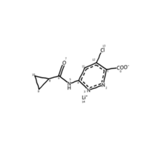 O=C([O-])c1nnc(NC(=O)C2CC2)cc1Cl.[Li+]